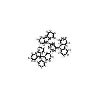 c1ccc(C(c2ccccc2)(c2ccccc2)c2cccc(-c3nc(-n4c5ccccc5c5ccncc54)nc(-n4c5ccccc5c5ccncc54)n3)c2)cc1